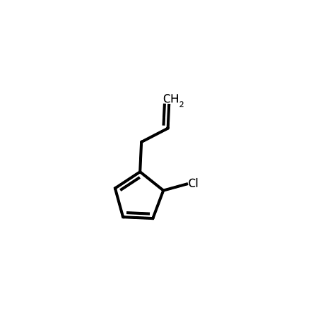 C=CCC1=CC=CC1Cl